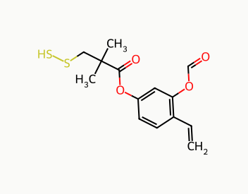 C=Cc1ccc(OC(=O)C(C)(C)CSS)cc1OC=O